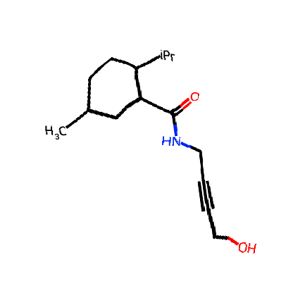 CC1CCC(C(C)C)C(C(=O)NCC#CCO)C1